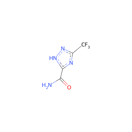 NC(=O)c1nc(C(F)(F)F)n[nH]1